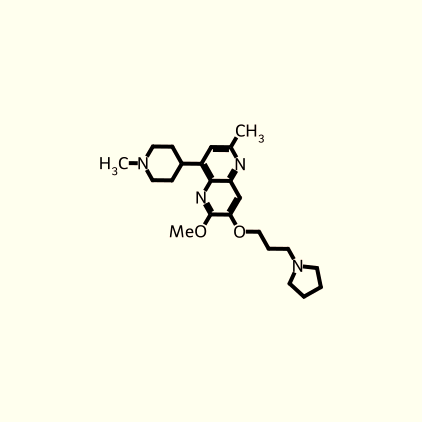 COc1nc2c(C3CCN(C)CC3)cc(C)nc2cc1OCCCN1CCCC1